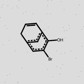 Oc1c(Br)cc2cc1C=CC2